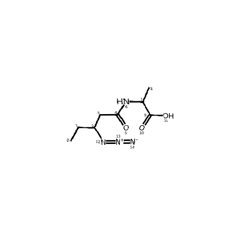 CCC(CC(=O)NC(C)C(=O)O)N=[N+]=[N-]